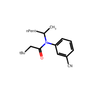 CCCCCC(C)N(C(=O)CC(C)(C)C)c1cccc(C#N)c1